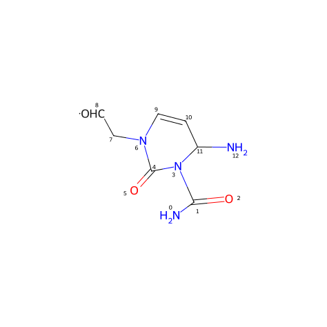 NC(=O)N1C(=O)N(C[C]=O)C=CC1N